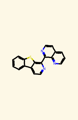 c1cnc2c(-c3nccc4c3sc3ccccc34)nccc2c1